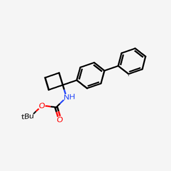 CC(C)(C)OC(=O)NC1(c2ccc(-c3[c]cccc3)cc2)CCC1